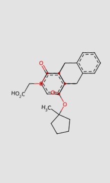 CC1(OC(=O)C2C3c4ccccc4C(c4ccccc43)C2C(=O)OCC(=O)O)CCCC1